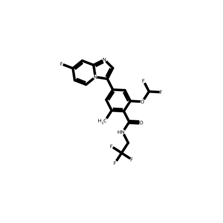 Cc1cc(-c2cnc3cc(F)ccn23)cc(OC(F)F)c1C(=O)NCC(F)(F)F